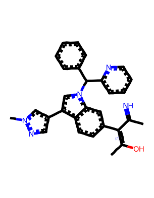 CC(=N)/C(=C(/C)O)c1ccc2c(-c3cnn(C)c3)cn(C(c3ccccc3)c3ccccn3)c2c1